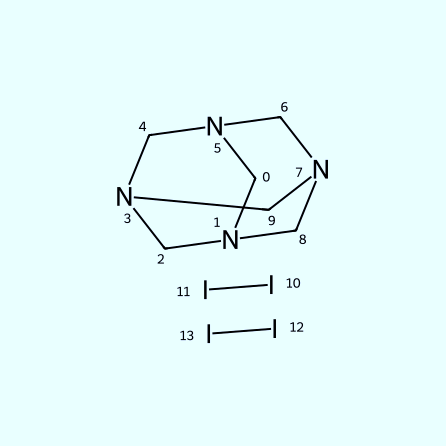 C1N2CN3CN1CN(C2)C3.II.II